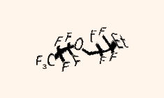 CCC(F)(F)C(F)(F)COC(F)(F)C(F)(F)C(F)(F)F